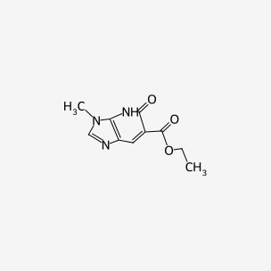 CCOC(=O)c1cc2ncn(C)c2[nH]c1=O